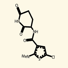 CNc1sc(Cl)cc1C(=O)NC1CCC(=O)NC1=O